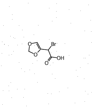 O=C(O)C(Br)C1=COCO1